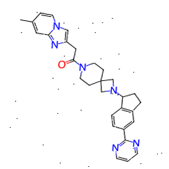 Cc1ccn2cc(CC(=O)N3CCC4(CC3)CN(C3CCc5cc(-c6ncccn6)ccc53)C4)nc2c1